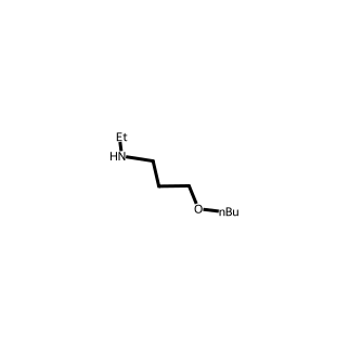 CCCCOCCCNCC